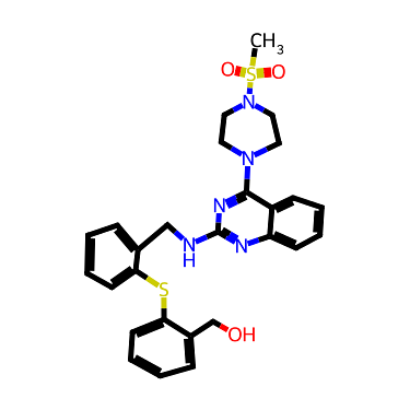 CS(=O)(=O)N1CCN(c2nc(NCc3ccccc3Sc3ccccc3CO)nc3ccccc23)CC1